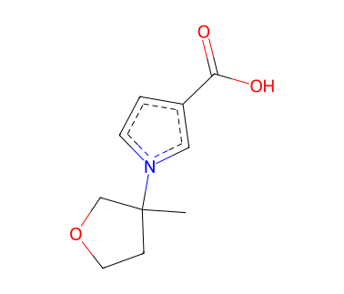 CC1(n2ccc(C(=O)O)c2)CCOC1